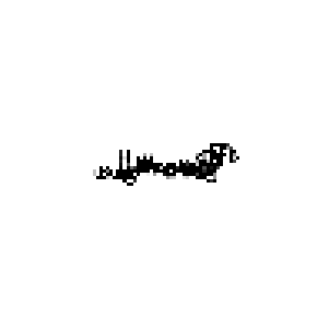 CC(NC(=O)CCn1cc(COc2ccc(-c3ccc(N4C(=S)N(c5ccc(C#N)c(C(F)(F)F)c5F)C(=O)C4(C)C)cn3)cc2)nn1)C(C)(C)C